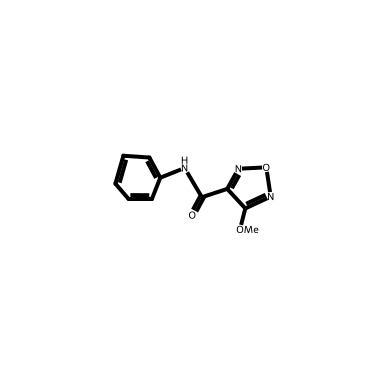 COc1nonc1C(=O)Nc1ccccc1